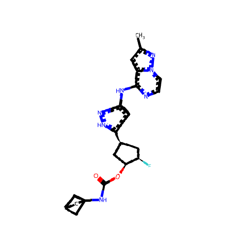 Cc1cc2c(Nc3cc([C@H]4C[C@@H](F)[C@@H](OC(=O)NC56CC(C5)C6)C4)[nH]n3)nccn2n1